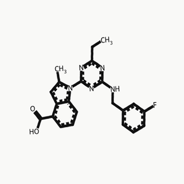 CCc1nc(NCc2cccc(F)c2)nc(-n2c(C)cc3c(C(=O)O)cccc32)n1